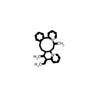 C=C1/C(=C\C)c2cccc[n+]2C2CC(=C)[n+]3ccccc3-c3ccccc3CCC12